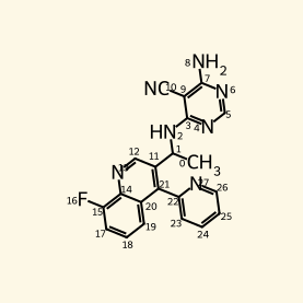 CC(Nc1ncnc(N)c1C#N)c1cnc2c(F)cccc2c1-c1ccccn1